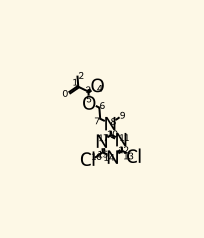 C=C(C)C(=O)OCCN(C)c1nc(Cl)nc(Cl)n1